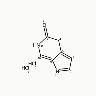 Cl.Cl.O=C1CC2=CC=NC2=CN1